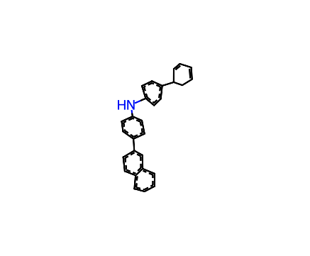 C1=CCC(c2ccc(Nc3ccc(-c4ccc5ccccc5c4)cc3)cc2)C=C1